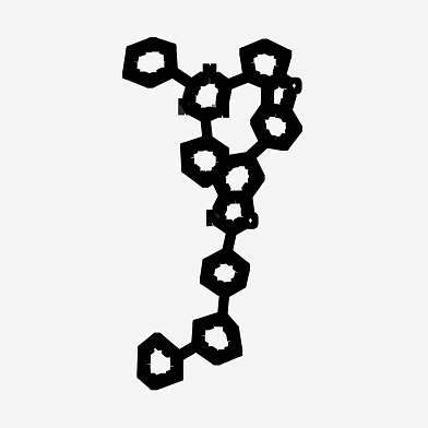 c1ccc(-c2cccc(-c3ccc(-c4nc5ccc(-c6ccc7oc8cccc(-c9nc(-c%10ccccc%10)nc(-c%10ccccc%10)n9)c8c7c6)cc5o4)cc3)c2)cc1